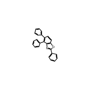 c1ccc(-c2nc3c(-c4ccccc4)c(-c4ccccc4)ccc3o2)cc1